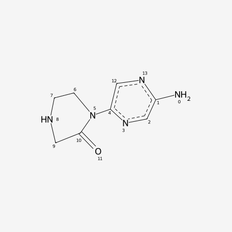 Nc1cnc(N2CCNCC2=O)cn1